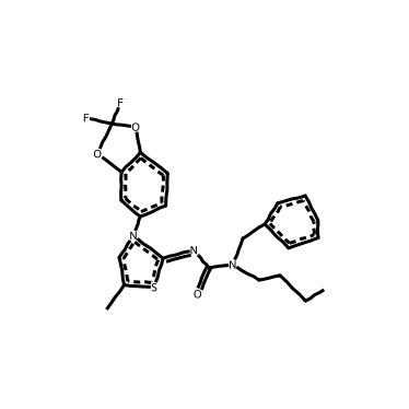 CCCCN(Cc1ccccc1)C(=O)/N=c1\sc(C)cn1-c1ccc2c(c1)OC(F)(F)O2